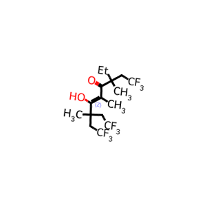 CCC(C)(CC(F)(F)F)C(=O)/C(C)=C(\O)C(C)(CC(F)(F)F)CC(F)(F)F